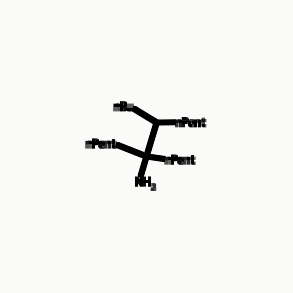 CCCCCC(CCCC)C(N)(CCCCC)CCCCC